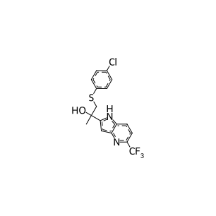 CC(O)(CSc1ccc(Cl)cc1)c1cc2nc(C(F)(F)F)ccc2[nH]1